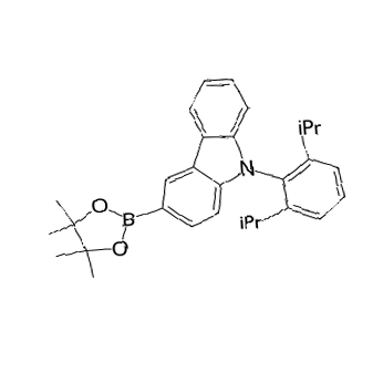 CC(C)c1cccc(C(C)C)c1-n1c2ccccc2c2cc(B3OC(C)(C)C(C)(C)O3)ccc21